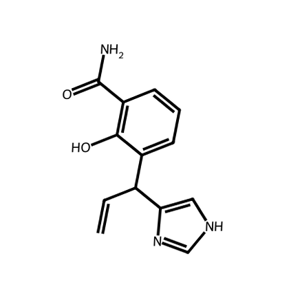 C=CC(c1c[nH]cn1)c1cccc(C(N)=O)c1O